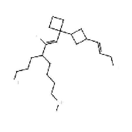 CC/C=C/C1CC(C2(/C=C(\C)C(CCCC)CCCCNC)CCC2)C1